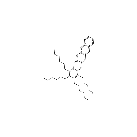 CCCCCCc1c(CCCCCC)c(CCCCCC)c2cc3cc4cc5ccccc5cc4cc3cc2c1CCCCCC